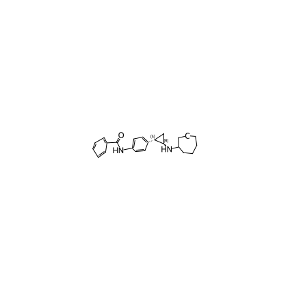 O=C(Nc1ccc([C@@H]2C[C@H]2NC2CCCCCC2)cc1)c1ccccc1